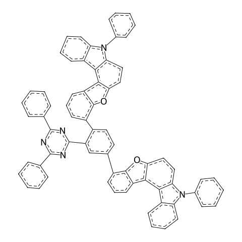 c1ccc(-c2nc(-c3ccccc3)nc(-c3cc(-c4cccc5c4oc4ccc6c(c7ccccc7n6-c6ccccc6)c45)ccc3-c3cccc4c3oc3ccc5c(c6ccccc6n5-c5ccccc5)c34)n2)cc1